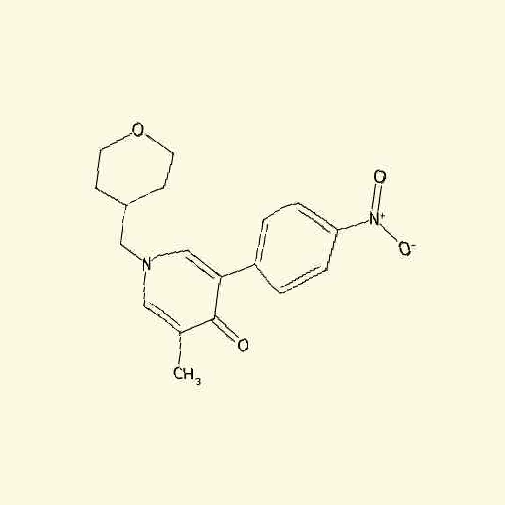 Cc1cn(CC2CCOCC2)cc(-c2ccc([N+](=O)[O-])cc2)c1=O